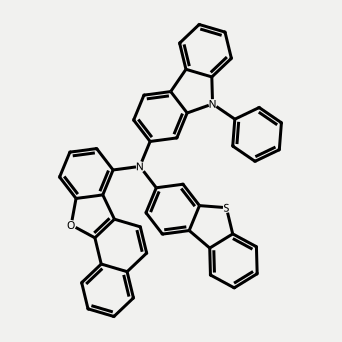 c1ccc(-n2c3ccccc3c3ccc(N(c4ccc5c(c4)sc4ccccc45)c4cccc5oc6c7ccccc7ccc6c45)cc32)cc1